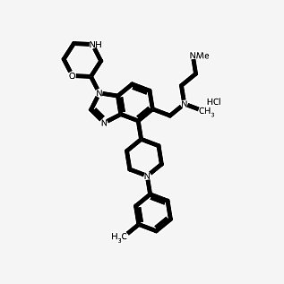 CNCCN(C)Cc1ccc2c(ncn2C2CNCCO2)c1C1CCN(c2cccc(C)c2)CC1.Cl